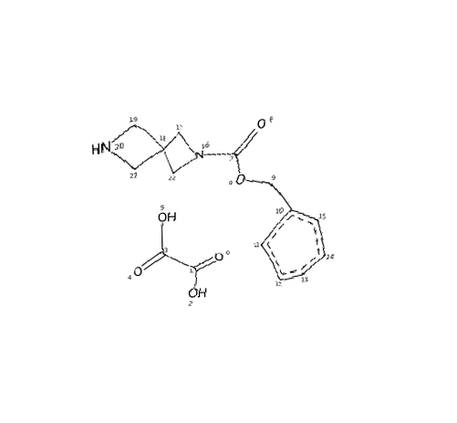 O=C(O)C(=O)O.O=C(OCc1ccccc1)N1CC2(CNC2)C1